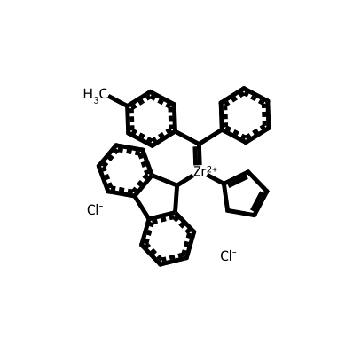 Cc1ccc(/[C](c2ccccc2)=[Zr+2](/[C]2=CC=CC2)[CH]2c3ccccc3-c3ccccc32)cc1.[Cl-].[Cl-]